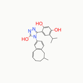 CC1CC/C=C\c2cc(-n3c(O)nnc3-c3cc(C(C)C)c(O)cc3O)ccc2C1